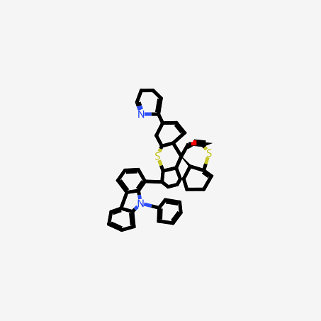 C1=CC2SC3=CCCCC3[C@@]3(C4C=CC(C5=CCCC=N5)CC4SC4C(c5cccc6c7ccccc7n(-c7ccccc7)c56)CCCC43)C2CC1